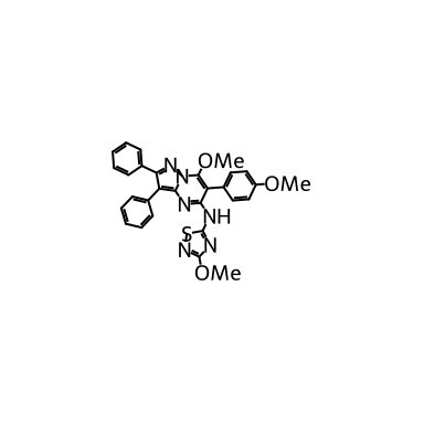 COc1ccc(-c2c(Nc3nc(OC)ns3)nc3c(-c4ccccc4)c(-c4ccccc4)nn3c2OC)cc1